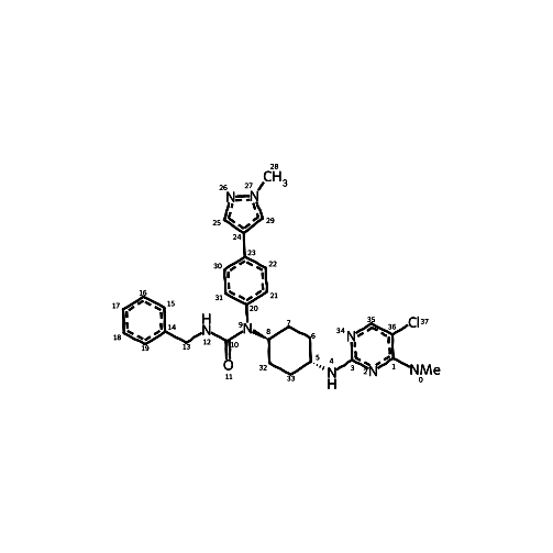 CNc1nc(N[C@H]2CC[C@H](N(C(=O)NCc3ccccc3)c3ccc(-c4cnn(C)c4)cc3)CC2)ncc1Cl